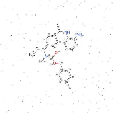 C=C(Nc1ccccc1N)c1ccc([C@@H](CC(F)(F)F)N(C(=O)OCc2ccc(C)cc2)C(C)C)cc1